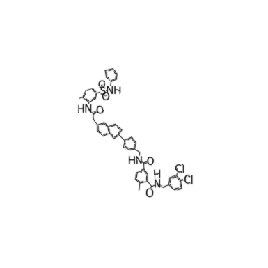 Cc1ccc(S(=O)(=O)Nc2ccccc2)cc1NC(=O)Cc1ccc2cc(-c3ccc(CNC(=O)c4ccc(C)c(C(=O)NCc5ccc(Cl)c(Cl)c5)c4)cc3)ccc2c1